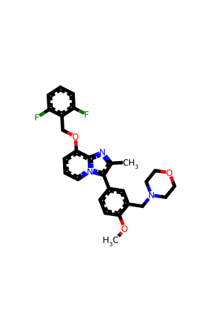 COc1ccc(-c2c(C)nc3c(OCc4c(F)cccc4F)cccn23)cc1CN1CCOCC1